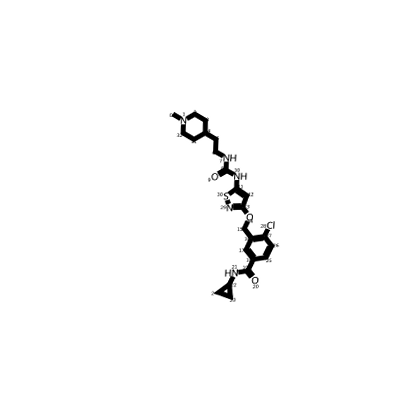 CN1CCC(CCNC(=O)Nc2cc(OCc3cc(C(=O)NC4CC4)ccc3Cl)ns2)CC1